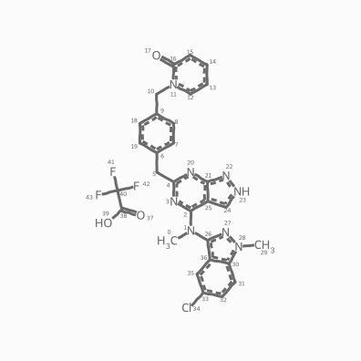 CN(c1nc(Cc2ccc(Cn3ccccc3=O)cc2)nc2n[nH]cc12)c1nn(C)c2ccc(Cl)cc12.O=C(O)C(F)(F)F